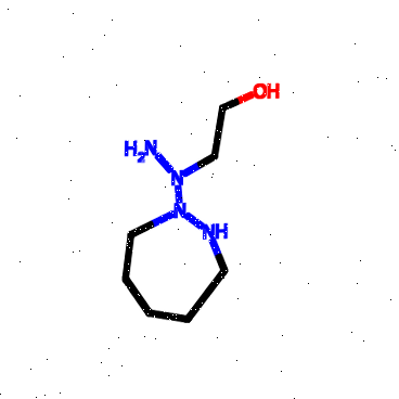 NN(CCO)N1CCCCCN1